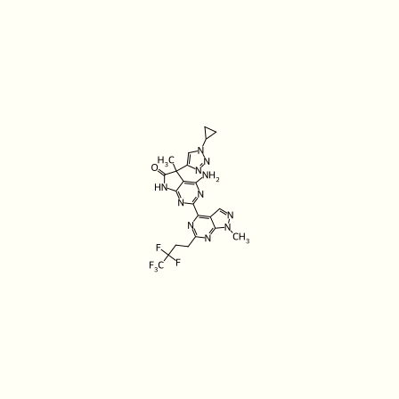 Cn1ncc2c(-c3nc(N)c4c(n3)NC(=O)C4(C)c3cn(C4CC4)nn3)nc(CCC(F)(F)C(F)(F)F)nc21